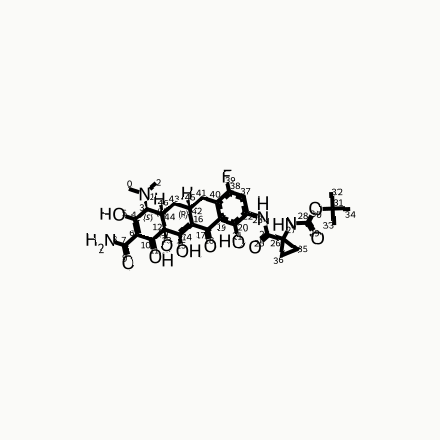 CN(C)[C@@H]1C(O)=C(C(N)=O)C(=O)[C@@]2(O)C(O)=C3C(=O)c4c(O)c(NC(=O)C5(NC(=O)OC(C)(C)C)CC5)cc(F)c4C[C@H]3C[C@@H]12